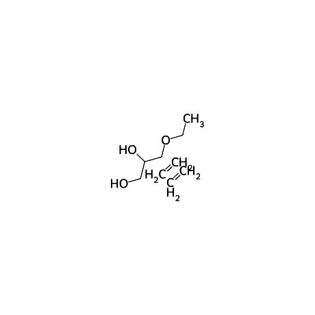 C=C.C=C.CCOCC(O)CO